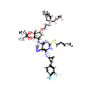 CCCSc1nc(N[C@@H]2C[C@H]2c2ccc(F)c(F)c2)c2nnn([C@@H]3C[C@H](OCCO[Si](CC)(CC)CC)[C@H]4OC(C)(C)O[C@H]43)c2n1